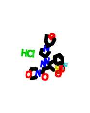 Cl.O=C(c1nn(C2CCN(C3CCOCC3)C2)c2c1CS(=O)(=O)c1c(F)cccc1-2)N1CCOCC1